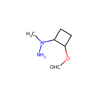 CN(N)C1CCC1OC=O